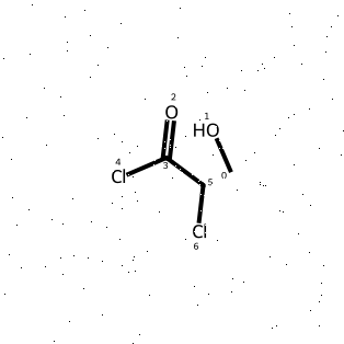 CO.O=C(Cl)CCl